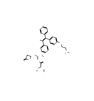 CC/C(=C(\c1ccccc1)c1ccc(OCCN(C)C)cc1)c1ccccc1.CCCCCCCCCCC[C@@H](C[C@@H]1OC(=O)[C@H]1CCCCCC)OC(=O)[C@H](CC(C)C)NC=O